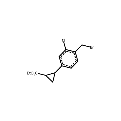 CCOC(=O)C1CC1c1ccc(CBr)c(Cl)c1